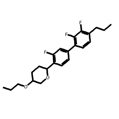 CCCOC1CCC(c2ccc(-c3ccc(CCC)c(F)c3F)cc2F)OC1